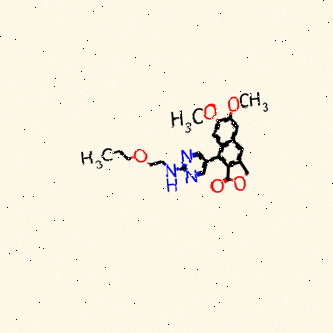 CCCOCCNc1ncc(-c2c3c(cc4cc(OC)c(OC)cc24)COC3=O)cn1